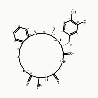 CCC[C@@H]1NC(=O)CNC(=O)[C@@H](Cc2ccc(O)c(Cl)c2)N[C@@H](C)COc2ccccc2CCCNC1=O